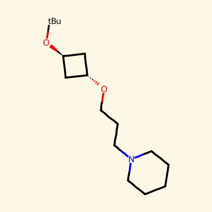 CC(C)(C)O[C@H]1C[C@H](OCCCN2CCCCC2)C1